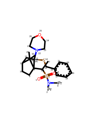 CC(C)N(C(C)C)S(=O)(=O)C(C)C12CCC(C[C@]1(SCc1ccccc1)N1CCOCC1)C2(C)C